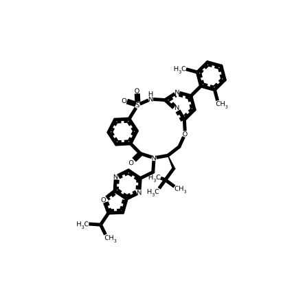 Cc1cccc(C)c1-c1cc2nc(n1)NS(=O)(=O)c1cccc(c1)C(=O)N(Cc1cnc3oc(C(C)C)cc3n1)[C@H](CC(C)(C)C)CO2